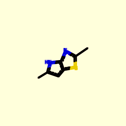 Cc1cc2sc(C)nc2[nH]1